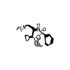 CC(C)(C)OC(=O)C(CN)NS(=O)(=O)c1ccccc1